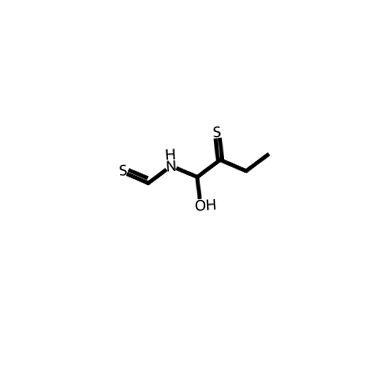 CCC(=S)C(O)NC=S